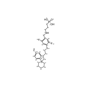 O=P(O)(O)CCCNCc1cc(F)c(SCCCCC2(c3ccc(F)cc3)CCCCC2)cc1F